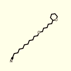 N#CCCCCCCCCCCOCCCCCC1CCCCO1